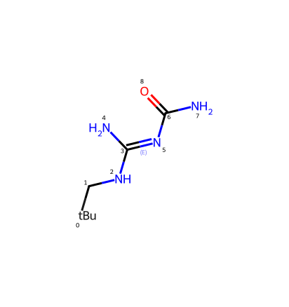 CC(C)(C)CN/C(N)=N/C(N)=O